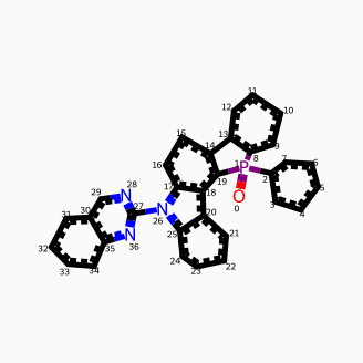 O=P1(c2ccccc2)c2ccccc2-c2ccc3c(c21)c1ccccc1n3-c1ncc2ccccc2n1